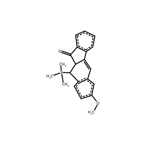 COc1ccc2c(c1)C=C1c3ccccc3C(=O)C1C2[Si](C)(C)C